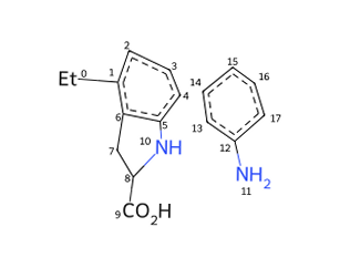 CCc1cccc2c1CC(C(=O)O)N2.Nc1ccccc1